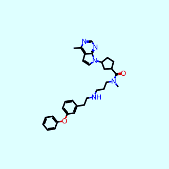 Cc1ncnc2c1ccn2C1CCC(C(=O)N(C)CCCNCCc2cccc(Oc3ccccc3)c2)C1